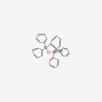 [CH2]CCCCC[Si](O[Si](c1ccccc1)(c1ccccc1)c1ccccc1)(c1ccccc1)c1ccccc1